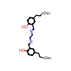 CCCCCCCCCCCCc1ccc(O)c(C=NCCN=Cc2cc(CCCCCCCCCCCC)ccc2O)c1